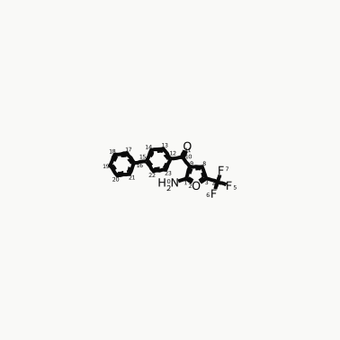 Nc1oc(C(F)(F)F)cc1C(=O)c1ccc(-c2ccccc2)cc1